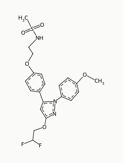 COc1ccc(-n2nc(OCC(F)F)cc2-c2ccc(OCCNS(C)(=O)=O)cc2)cc1